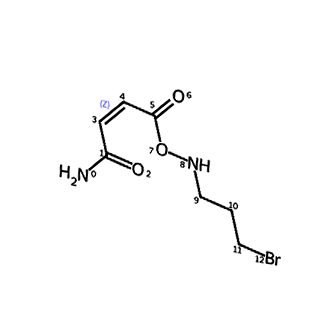 NC(=O)/C=C\C(=O)ONCCCBr